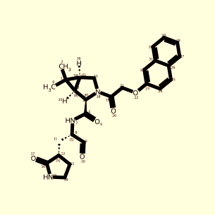 CC1(C)[C@@H]2[C@H](C(=O)N[C@H](C=O)C[C@@H]3CCNC3=O)N(C(=O)COc3ccc4ccccc4c3)C[C@@H]21